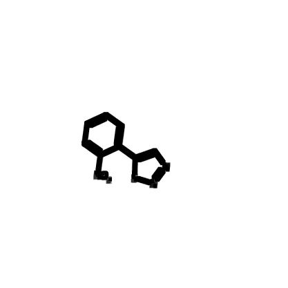 O=[N+]([O-])c1ccccc1-c1cnns1